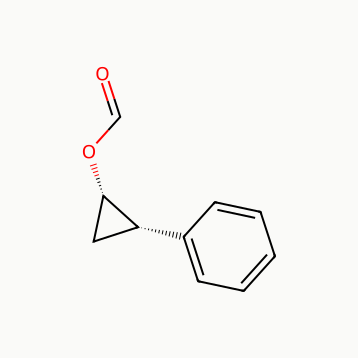 O=CO[C@H]1C[C@H]1c1ccccc1